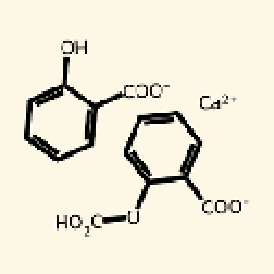 O=C(O)Oc1ccccc1C(=O)[O-].O=C([O-])c1ccccc1O.[Ca+2]